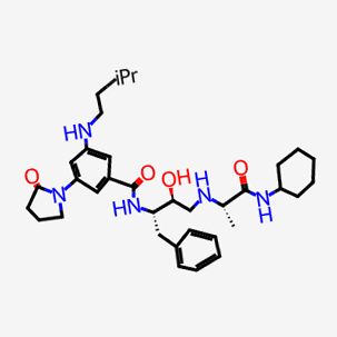 CC(C)CCNc1cc(C(=O)N[C@@H](Cc2ccccc2)[C@@H](O)CN[C@@H](C)C(=O)NC2CCCCC2)cc(N2CCCC2=O)c1